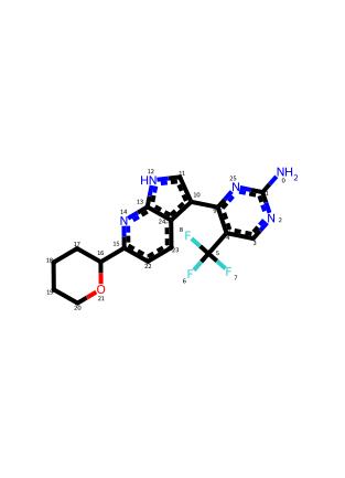 Nc1ncc(C(F)(F)F)c(-c2c[nH]c3nc(C4CCCCO4)ccc23)n1